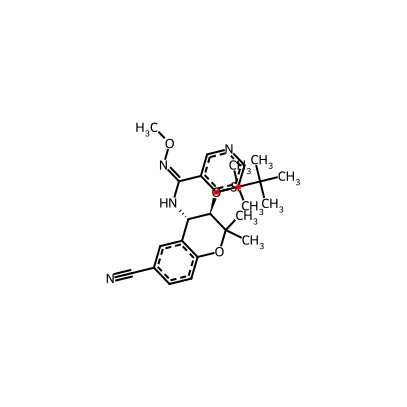 CO/N=C(/N[C@H]1c2cc(C#N)ccc2OC(C)(C)[C@@H]1O[Si](C)(C)C(C)(C)C)c1cccnc1